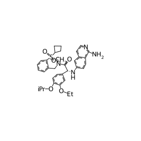 CCOc1cc([C@@H](Nc2ccc3c(N)nccc3c2)C(=O)N(C)Cc2ccccc2S(=O)(=O)C2CCC2)ccc1OC(C)C